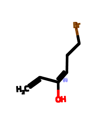 C=C/C(O)=C\CCBr